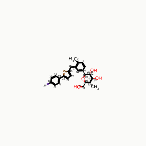 Cc1ccc([C@@H]2O[C@H](CO)[C@@H](C)[C@H](O)[C@H]2O)cc1Cc1ccc(-c2ccc(I)cc2)s1